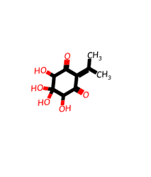 CC(C)=C1C(=O)C(O)C(O)(O)C(O)C1=O